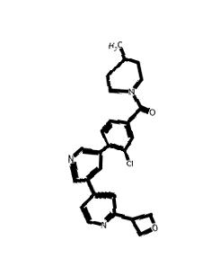 CC1CCN(C(=O)c2ccc(-c3cncc(-c4ccnc(C5COC5)c4)c3)c(Cl)c2)CC1